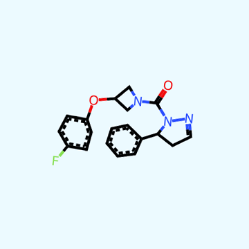 O=C(N1CC(Oc2ccc(F)cc2)C1)N1N=CCC1c1ccccc1